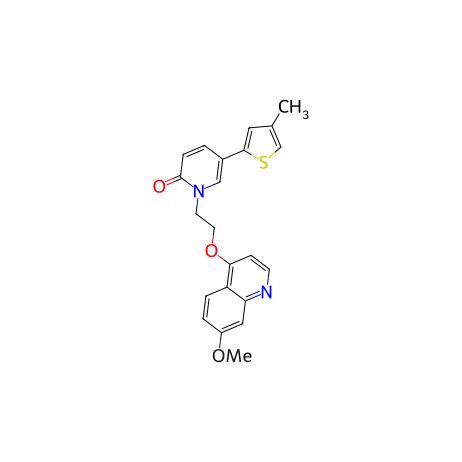 COc1ccc2c(OCCn3cc(-c4cc(C)cs4)ccc3=O)ccnc2c1